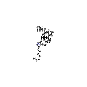 CCCCCC/C=C\CC[C@H](NC(=O)[C@@H]1CCCN1C(=O)CNC=O)C(=O)O